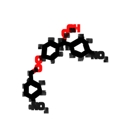 O=[N+]([O-])c1ccc(COOc2ccc(C(OO)c3ccc([N+](=O)[O-])cc3)cc2)cc1